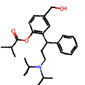 CC(C)C(=O)Oc1ccc(CO)cc1C(CCN(C(C)C)C(C)C)c1ccccc1